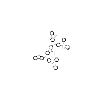 CC1(C)c2ccccc2-c2ccc(N(c3ccc(-c4nc5ccccc5n4-c4ccccc4)cc3)c3ccc4c(c3)C(C)(C)C3C=C(N(c5ccc(C6=NC7(C)C=CC=CC7N6c6ccccc6)cc5)c5ccc6c(c5)C(C)(I)c5ccccc5-6)C=CC43)cc21